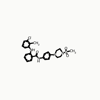 Cc1c(Cl)cccc1Nc1ccccc1C(=O)Nc1ccc(N2CCN(S(C)(=O)=O)CC2)cc1